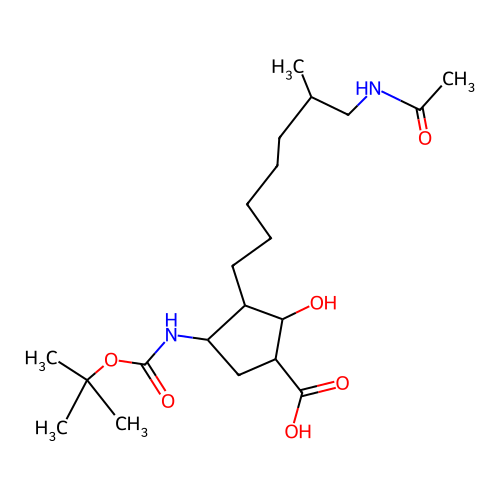 CC(=O)NCC(C)CCCCCC1C(NC(=O)OC(C)(C)C)CC(C(=O)O)C1O